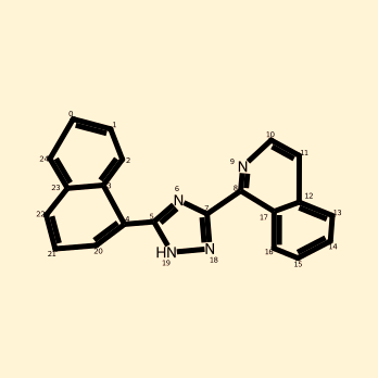 c1ccc2c(-c3nc(-c4nccc5ccccc45)n[nH]3)cccc2c1